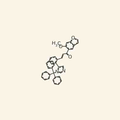 COc1cc2occc2cc1C(=O)C=Cc1ccccc1-c1cncn1C(c1ccccc1)(c1ccccc1)c1ccccc1